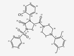 Cc1ccc(C)c(N2CCN(C(=O)C3CN(S(=O)(=O)c4ccccc4)C(=O)N3c3ccccc3Cl)CC2)c1